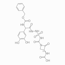 O=C(O)N[C@H]1CN(C(=O)NS(=O)(=O)NNC(=O)C(NC(=O)OCc2ccccc2)c2ccc(O)c(O)c2)C1=O